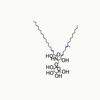 CCCCCCCCCCCCCC/C=C/C(O)C(=O)NC(CO[C@@H]1O[C@H](CO)C(O)C(O)C1O)C(O)/C=C/CC/C=C(\C)CCCCCCCCC